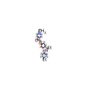 CC/C(=N/Oc1ncc(CC)cn1)c1ccc(OCC(=O)N2CCN(C)CC2)cc1